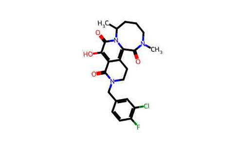 CC1CCCN(C)C(=O)c2c3c(c(O)c(=O)n21)C(=O)N(Cc1ccc(F)c(Cl)c1)CC3